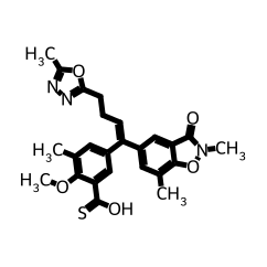 COc1c(C)cc(C(=CCCc2nnc(C)o2)c2cc(C)c3on(C)c(=O)c3c2)cc1C(O)=S